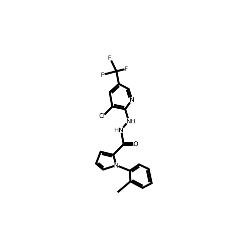 Cc1ccccc1-n1cccc1C(=O)NNc1ncc(C(F)(F)F)cc1Cl